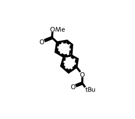 COC(=O)c1ccc2cc(OC(=O)C(C)(C)C)ccc2c1